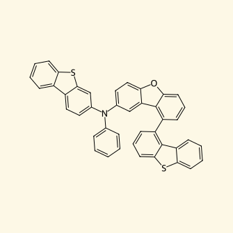 c1ccc(N(c2ccc3c(c2)sc2ccccc23)c2ccc3oc4cccc(-c5cccc6sc7ccccc7c56)c4c3c2)cc1